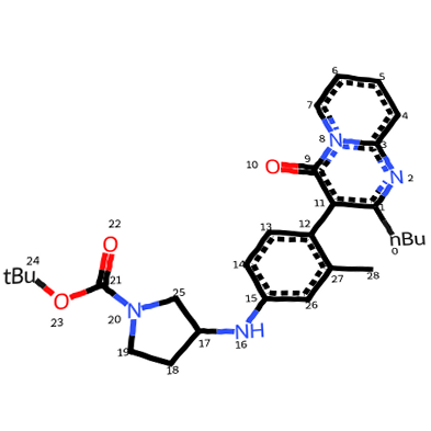 CCCCc1nc2ccccn2c(=O)c1-c1ccc(NC2CCN(C(=O)OC(C)(C)C)C2)cc1C